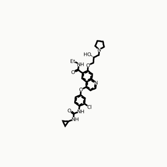 CCNC(=O)c1cc2c(Oc3ccc(NC(=O)NC4CC4)c(Cl)c3)ccnc2cc1OC[C@H](O)CN1CCCC1